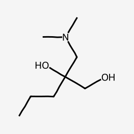 CCCC(O)(CO)CN(C)C